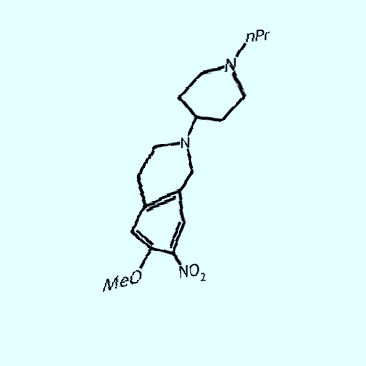 CCCN1CCC(N2CCc3cc(OC)c([N+](=O)[O-])cc3C2)CC1